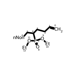 C=CCCC(CCCCCCCCCC)P(=O)(OCC)OCC